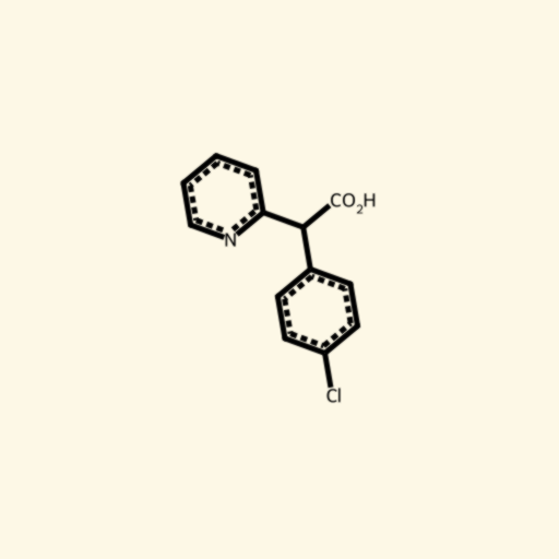 O=C(O)C(c1ccc(Cl)cc1)c1ccccn1